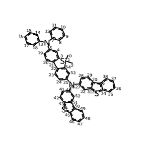 C[Si]1(C)c2cc(N(c3ccccc3)c3ccccc3)ccc2-c2ccc(N(c3ccc4c(c3)sc3ccccc34)c3ccc4sc5ccccc5c4c3)cc21